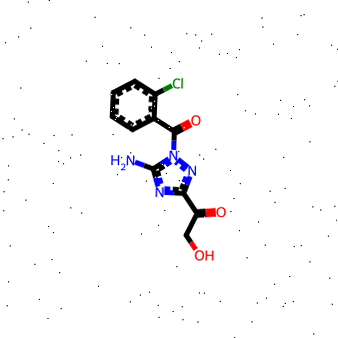 Nc1nc(C(=O)CO)nn1C(=O)c1ccccc1Cl